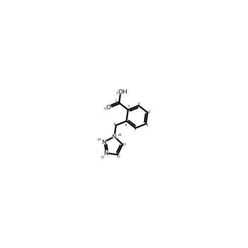 O=C(O)c1ccccc1Cn1ccnn1